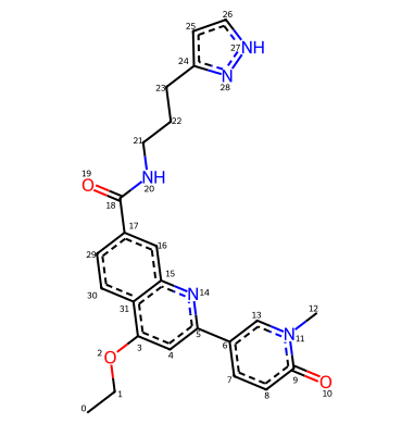 CCOc1cc(-c2ccc(=O)n(C)c2)nc2cc(C(=O)NCCCc3cc[nH]n3)ccc12